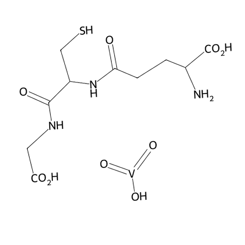 NC(CCC(=O)NC(CS)C(=O)NCC(=O)O)C(=O)O.[O]=[V](=[O])[OH]